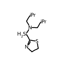 CC(C)CN(CC(C)C)[SiH2]C1=NCCS1